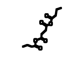 CCCC(=O)OC(=O)CCC(=O)OC(=O)CCC